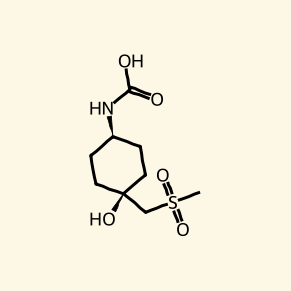 CS(=O)(=O)C[C@]1(O)CC[C@@H](NC(=O)O)CC1